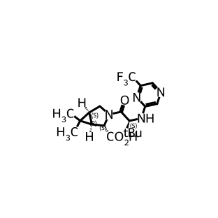 CC(C)(C)[C@H](Nc1cncc(C(F)(F)F)n1)C(=O)N1C[C@H]2[C@@H]([C@H]1C(=O)O)C2(C)C